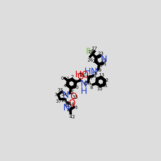 Cc1cc(C(=O)N[C@@H](Cc2ccccc2)[C@@H](O)CNCc2cncc(C(C)(C)F)c2)cc(C(=O)N2CCC[C@@H]2c2nc(C)co2)c1